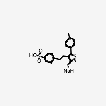 Cc1ccc(-c2ssc(=S)c2CCc2ccc(S(=O)(=O)O)cc2)cc1.[NaH]